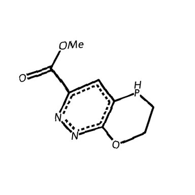 COC(=O)c1cc2c(nn1)OCCP2